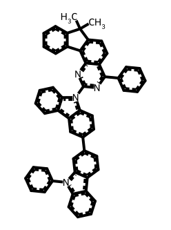 CC1(C)c2ccccc2-c2c1ccc1c(-c3ccccc3)nc(-n3c4ccccc4c4cc(-c5ccc6c7ccccc7n(-c7ccccc7)c6c5)ccc43)nc21